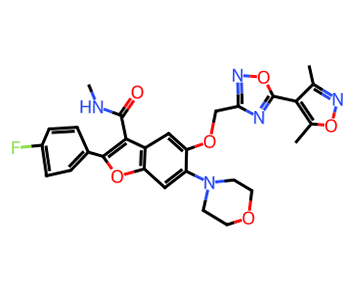 CNC(=O)c1c(-c2ccc(F)cc2)oc2cc(N3CCOCC3)c(OCc3noc(-c4c(C)noc4C)n3)cc12